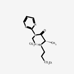 CCOC(=O)CCN[C@@H](C)C(=O)N(CC(=O)O)c1ncccn1